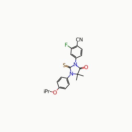 CC(C)Oc1ccc(N2C(=S)N(c3ccc(C#N)c(F)c3)C(=O)C2(C)C)cc1